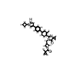 CC1=C(C2=NC3(CC3)C(=O)N2CC2CN(C(=O)C3(C)CC3)C2)CCC(c2ccc(C3=CN(C4CCC4)NC3)cc2)=C1